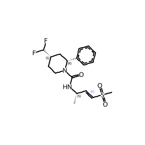 C[C@@H](/C=C/S(C)(=O)=O)NC(=O)N1CC[C@H](C(F)F)C[C@@H]1c1ccccc1